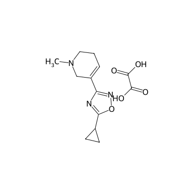 CN1CCC=C(c2noc(C3CC3)n2)C1.O=C(O)C(=O)O